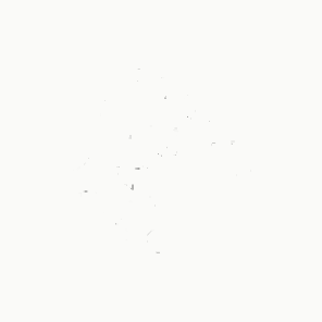 C1=CCC2Nc3ccccc3SC2=C1.CCCCN(CCCC)C(=S)[S-].CCCCN(CCCC)C(=S)[S-].[Cu+2]